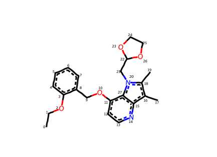 CCOc1ccccc1COc1ccnc2c(C)c(C)n(CC3OCCO3)c12